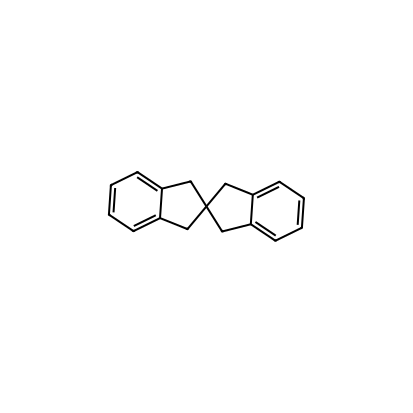 c1ccc2c(c1)CC1(C2)Cc2ccccc2C1